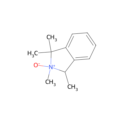 CC1c2ccccc2C(C)(C)[N+]1(C)[O-]